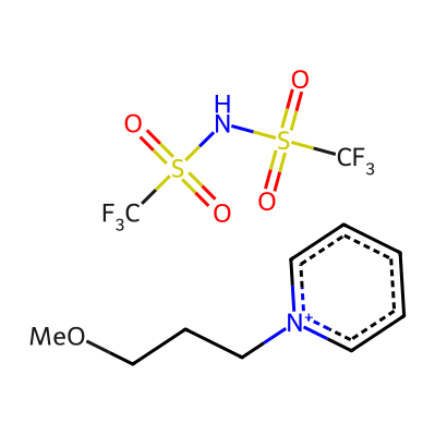 COCCC[n+]1ccccc1.O=S(=O)(NS(=O)(=O)C(F)(F)F)C(F)(F)F